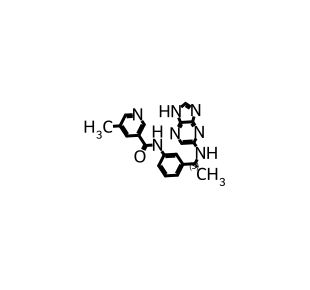 Cc1cncc(C(=O)Nc2cccc([C@H](C)Nc3cnc4[nH]cnc4n3)c2)c1